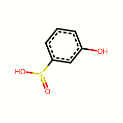 O=S(O)c1cccc(O)c1